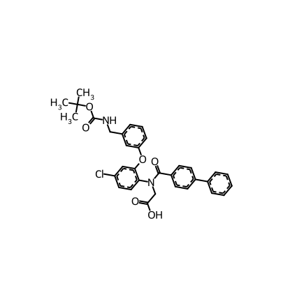 CC(C)(C)OC(=O)NCc1cccc(Oc2cc(Cl)ccc2N(CC(=O)O)C(=O)c2ccc(-c3ccccc3)cc2)c1